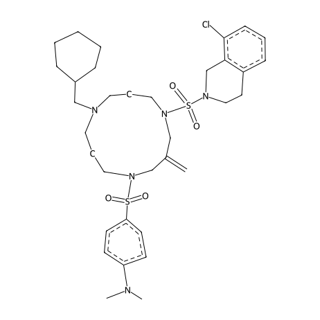 C=C1CN(S(=O)(=O)c2ccc(N(C)C)cc2)CCCN(CC2CCCCC2)CCCN(S(=O)(=O)N2CCc3cccc(Cl)c3C2)C1